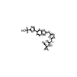 CC(C)(O)c1nc(-c2ccc3nc(Cc4nnc(CC(=O)NC5(C#N)CC5)o4)sc3c2)cs1